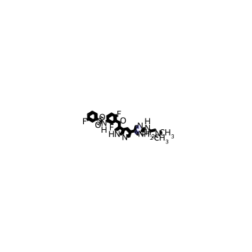 C=C(/N=C\C(=C/N)c1cnc2[nH]cc(C(=O)c3c(F)ccc(NS(=O)(=O)c4cccc(F)c4)c3F)c2c1)NCCN(C)C